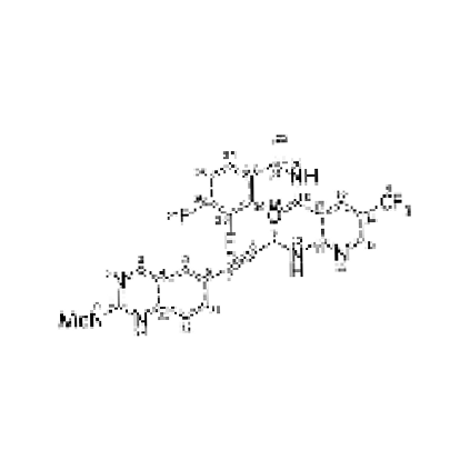 CNc1ncc2cc(C#CCNc3ncc(C(F)(F)F)cc3C(=O)N[C@@H](C)c3ccc(F)c(F)c3)ccc2n1